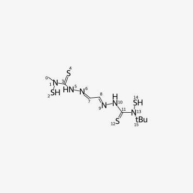 CN(S)C(=S)N/N=C/C=N/NC(=S)N(S)C(C)(C)C